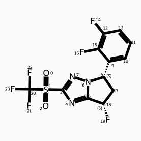 O=S(=O)(c1nc2n(n1)[C@H](c1cccc(F)c1F)C[C@@H]2F)C(F)(F)F